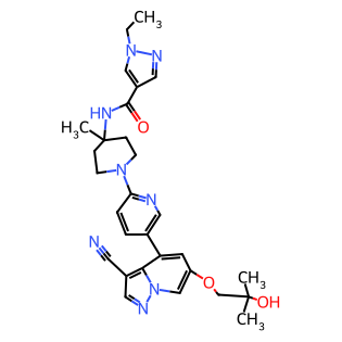 CCn1cc(C(=O)NC2(C)CCN(c3ccc(-c4cc(OCC(C)(C)O)cn5ncc(C#N)c45)cn3)CC2)cn1